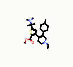 CCN1CCC(c2cc(C(C)(C)N(C)C)sc2C(=O)OC)=C(C2CCC(C)CC2)C1